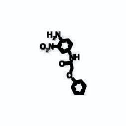 Nc1ccc(NC(=O)COc2ccccc2)cc1[N+](=O)[O-]